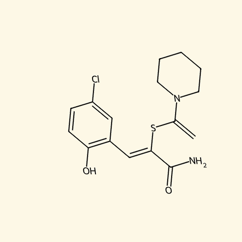 C=C(S/C(=C\c1cc(Cl)ccc1O)C(N)=O)N1CCCCC1